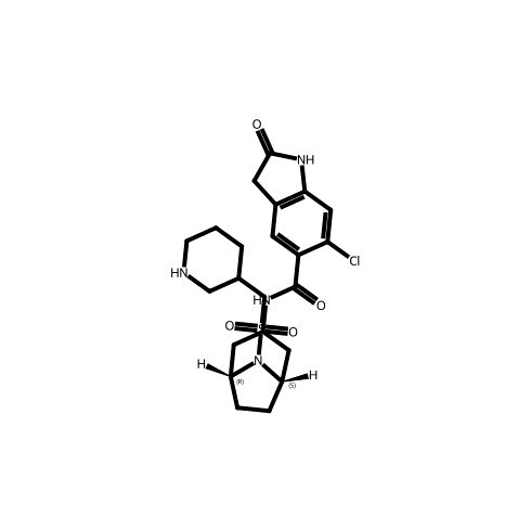 O=C1Cc2cc(C(=O)NC3C[C@H]4CC[C@@H](C3)N4S(=O)(=O)CC3CCCNC3)c(Cl)cc2N1